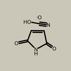 N#CO.O=C1C=CC(=O)N1.[O]